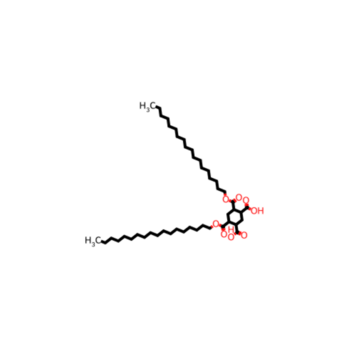 CCCCCCCCCCCCCCCCCCOC(=O)C1CC(C(=O)OCCCCCCCCCCCCCCCCCC)C(C(=O)O)CC1C(=O)O